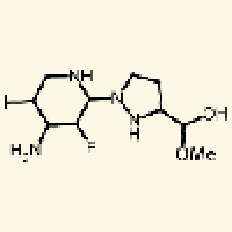 COC(O)C1CCN(C2NCC(I)C(N)C2F)N1